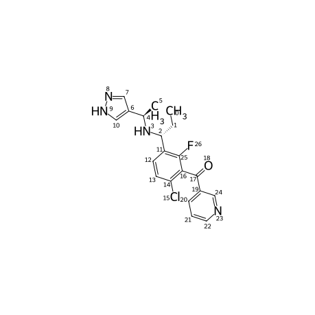 CC[C@@H](N[C@H](C)c1cn[nH]c1)c1ccc(Cl)c(C(=O)c2cccnc2)c1F